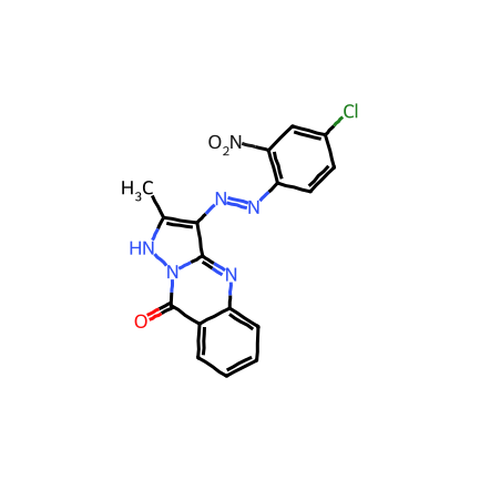 Cc1[nH]n2c(=O)c3ccccc3nc2c1N=Nc1ccc(Cl)cc1[N+](=O)[O-]